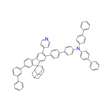 c1ccc(-c2ccc(N(c3ccc(-c4ccccc4)cc3)c3ccc(-c4ccc(-c5cc6c(cc5-c5ccncc5)-c5ccc(-c7cccc(-c8ccccc8)c7)cc5C65C6CC7CC(C6)CC5C7)cc4)cc3)cc2)cc1